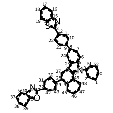 c1ccc(-n2c3ccc(-c4ccc(-c5nc6ccccc6s5)cc4)cc3c3cc(-c4ccc(-c5nc6ccccc6o5)cc4)c4ccccc4c32)cc1